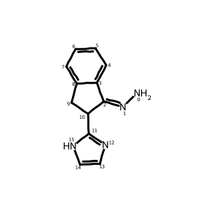 NN=C1c2ccccc2CC1c1ncc[nH]1